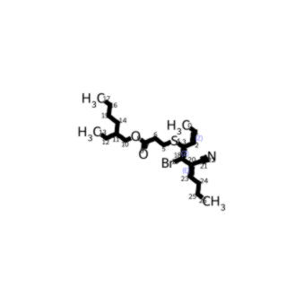 C\C=C/C(SCCC(=O)OCC(CC)CCCC)=C(Br)\C(C#N)=C\CCC